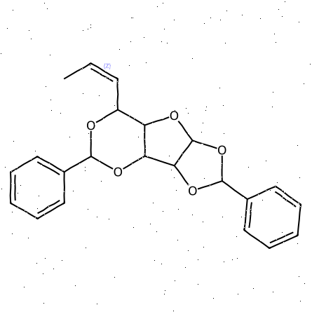 C/C=C\C1OC(c2ccccc2)OC2C1OC1OC(c3ccccc3)OC12